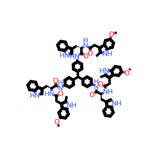 COc1ccc2[nH]c(C)c(CC(=O)N[C@@H](Cc3c[nH]c4ccccc34)C(=O)Nc3ccc(C(c4ccc(NC(=O)[C@H](Cc5c[nH]c6ccccc56)NC(=O)Cc5c(C)[nH]c6ccc(OC)cc56)cc4)c4ccc(NC(=O)[C@H](Cc5c[nH]c6ccccc56)NC(=O)Cc5c(C)[nH]c6ccc(OC)cc56)cc4)cc3)c2c1